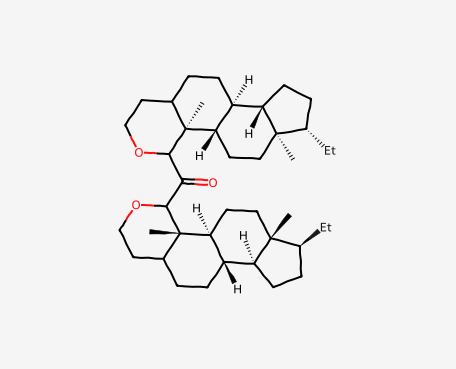 CC[C@H]1CC[C@H]2[C@@H]3CCC4CCOC(C(=O)C5OCCC6CC[C@@H]7[C@H](CC[C@]8(C)[C@@H](CC)CC[C@@H]78)[C@]65C)[C@]4(C)[C@H]3CC[C@]12C